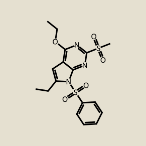 CCOc1nc(S(C)(=O)=O)nc2c1cc(CC)n2S(=O)(=O)c1ccccc1